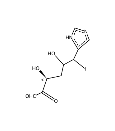 O=CC(=O)[C@@H](O)CC(O)C(I)c1cnc[nH]1